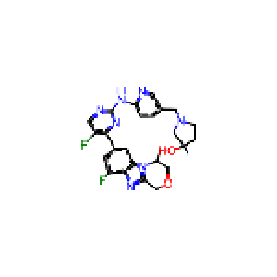 CC1COCc2nc3c(F)cc(-c4nc(Nc5ccc(CN6CCC(C)(O)C6)cn5)ncc4F)cc3n21